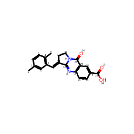 Cc1ccc(C)c(/C=C2\CCn3c2nc2ccc(C(=O)O)cc2c3=O)c1